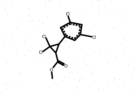 COC(=O)C1C(c2cc(Cl)cc(Cl)c2)C1(Cl)Cl